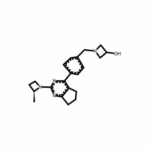 C[C@H]1CCN1c1nc2c(c(-c3ccc(CN4CC(O)C4)cc3)n1)CCC2